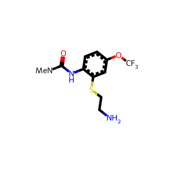 CNC(=O)Nc1ccc(OC(F)(F)F)cc1SCCN